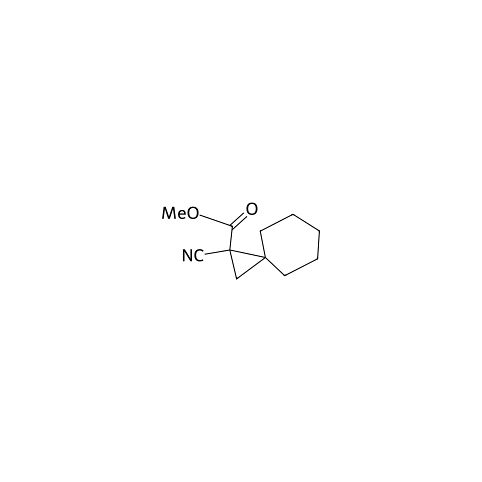 COC(=O)C1(C#N)CC12CCCCC2